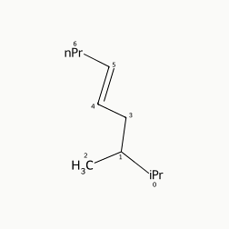 [CH2]C(C)C(C)C/C=C/CCC